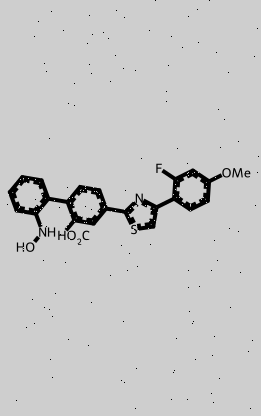 COc1ccc(-c2csc(-c3ccc(-c4ccccc4NO)c(C(=O)O)c3)n2)c(F)c1